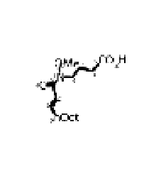 CCCCCCCC/C=C/C(=O)N(CCCC(=O)O)OC